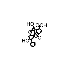 O=C(O)c1ccc2c(c1)C1(OC2=O)c2ccc(O)cc2Oc2cc(O)c(-c3ccccc3)cc21